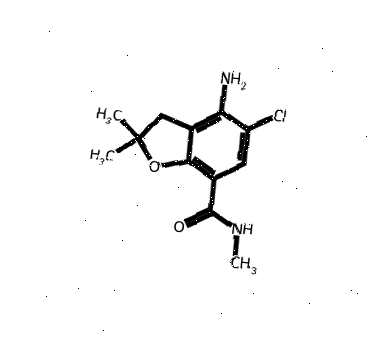 CNC(=O)c1cc(Cl)c(N)c2c1OC(C)(C)C2